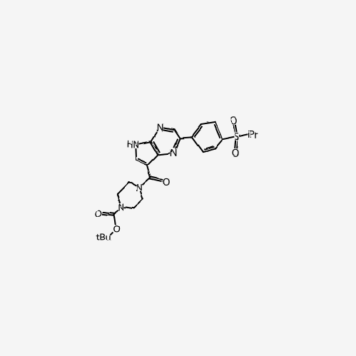 CC(C)S(=O)(=O)c1ccc(-c2cnc3[nH]cc(C(=O)N4CCN(C(=O)OC(C)(C)C)CC4)c3n2)cc1